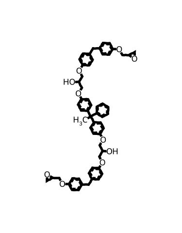 CC(c1ccccc1)(c1ccc(OCC(O)COc2ccc(Cc3ccc(OCC4CO4)cc3)cc2)cc1)c1ccc(OCC(O)COc2ccc(Cc3ccc(OCC4CO4)cc3)cc2)cc1